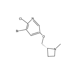 CN1CC[C@@H]1COc1cnc(Cl)c(Br)c1